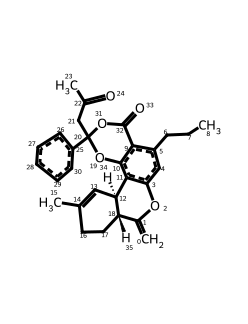 C=C1Oc2cc(CCC)c3c(c2[C@@H]2C=C(C)CC[C@@H]12)OC(CC(C)=O)(c1ccccc1)OC3=O